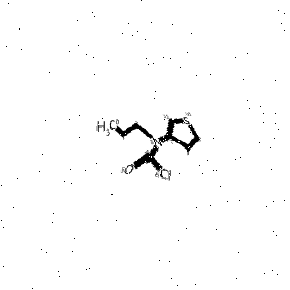 CCCN(C(=O)Cl)C1CCSC1